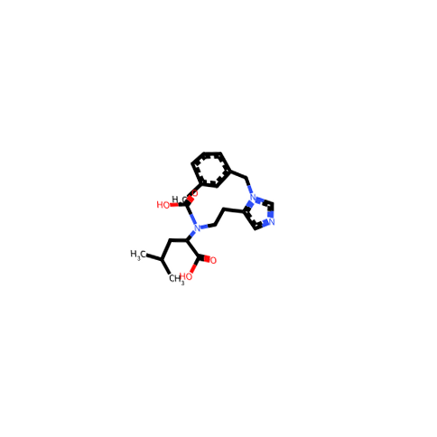 Cc1cccc(Cn2cncc2CCN(C(=O)O)C(CC(C)C)C(=O)O)c1